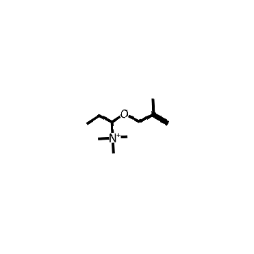 C=C(C)COC(CC)[N+](C)(C)C